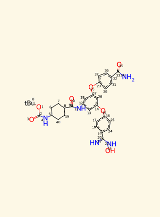 CC(C)(C)OC(=O)NC1CCC(C(=O)Nc2cc(Oc3ccc(C(=N)NO)cc3)cc(Oc3ccc(C(N)=O)cc3)c2)CC1